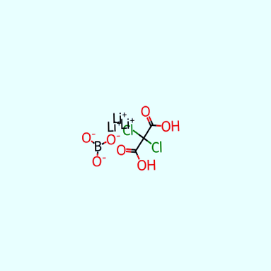 O=C(O)C(Cl)(Cl)C(=O)O.[Li+].[Li+].[Li+].[O-]B([O-])[O-]